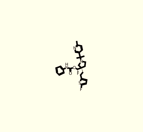 Cc1ccc(C(C)(C)N2CC[C@@](CCc3ccc(F)s3)([C@H](F)OC(=O)Nc3ccccc3)C2)cn1